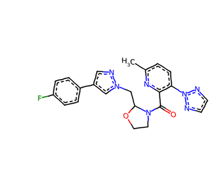 Cc1ccc(-n2nccn2)c(C(=O)N2CCOC2Cn2cc(-c3ccc(F)cc3)cn2)n1